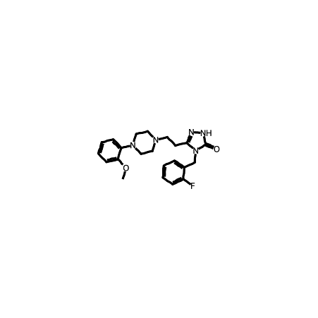 COc1ccccc1N1CCN(CCc2n[nH]c(=O)n2Cc2ccccc2F)CC1